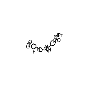 CC(C)OC(=O)N1CCC(c2nnn(C3CCN(c4ccc(S(C)(=O)=O)cc4F)C3)n2)CC1